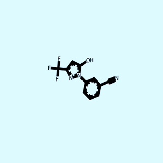 N#Cc1cccc(-n2nc(C(F)(F)F)cc2O)c1